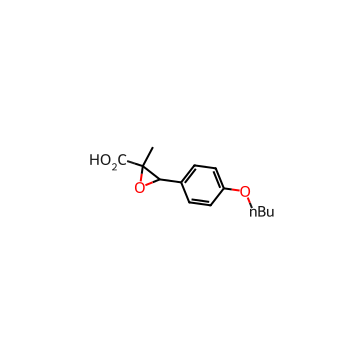 CCCCOc1ccc(C2OC2(C)C(=O)O)cc1